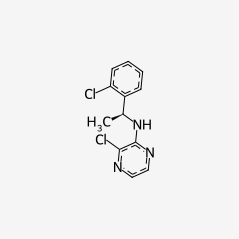 C[C@H](Nc1nccnc1Cl)c1ccccc1Cl